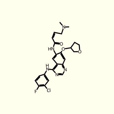 CN(C)C/C=C\C(=O)Nc1cc2c(Nc3ccc(F)c(Cl)c3)ncnc2cc1OC1CCOC1